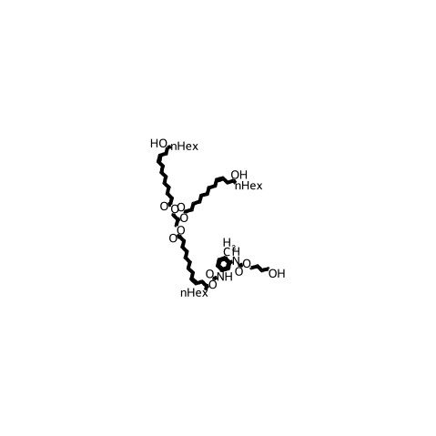 CCCCCCC(O)C/C=C\CCCCCCCC(=O)OCC(COC(=O)CCCCCCC/C=C\CC(CCCCCC)OC(=O)Nc1ccc(C)c(NC(=O)OCCCCO)c1)OC(=O)CCCCCCC/C=C\CC(O)CCCCCC